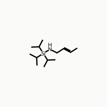 CC=CCN[Si](C(C)C)(C(C)C)C(C)C